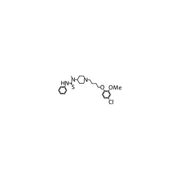 COc1cc(Cl)ccc1OCCCCN1CCC(N(C)C(=S)Nc2ccccc2)CC1